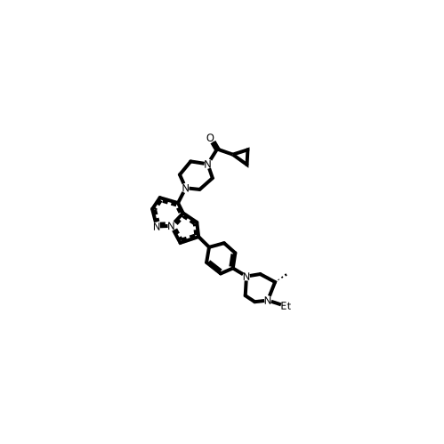 CCN1CCN(C2=CCC(c3cc4c(N5CCN(C(=O)C6CC6)CC5)ccnn4c3)C=C2)C[C@@H]1C